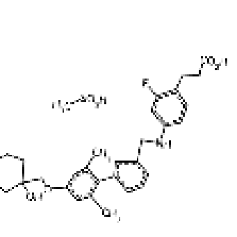 CS(=O)(=O)O.Cc1cc(OCC2(O)CCSCC2)cc(C)c1-c1cccc(CNc2ccc(CCC(=O)O)c(F)c2)c1